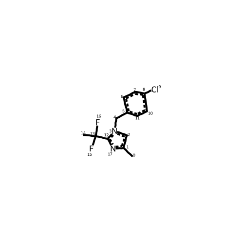 Cc1cn(Cc2ccc(Cl)cc2)c(C(C)(F)F)n1